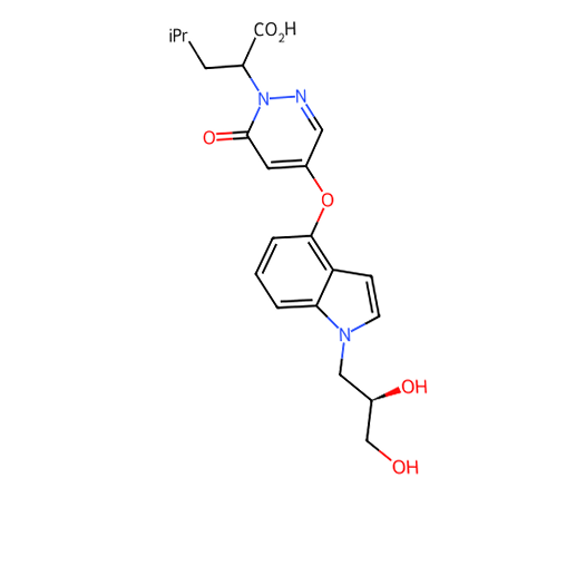 CC(C)CC(C(=O)O)n1ncc(Oc2cccc3c2ccn3C[C@@H](O)CO)cc1=O